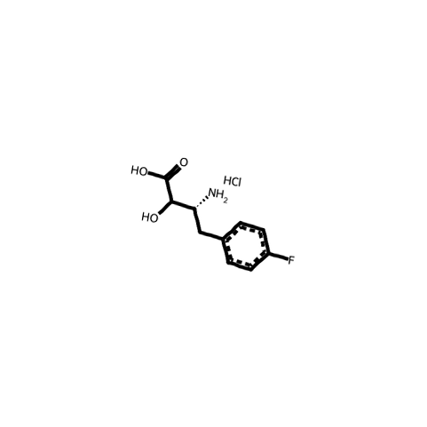 Cl.N[C@H](Cc1ccc(F)cc1)C(O)C(=O)O